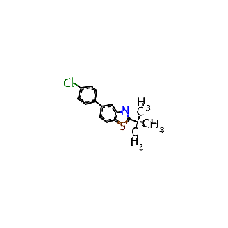 CC(C)(C)c1nc2cc(-c3ccc(Cl)cc3)ccc2s1